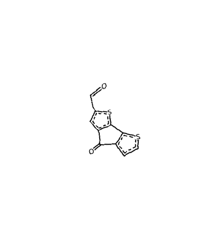 O=Cc1cc2c(s1)-c1sccc1C2=O